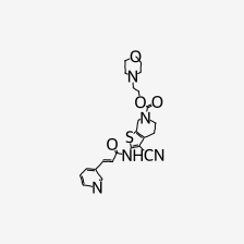 N#Cc1c(NC(=O)C=Cc2cccnc2)sc2c1CCN(C(=O)OCCN1CCOCC1)C2